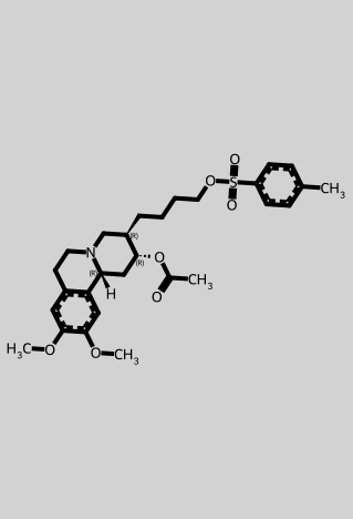 COc1cc2c(cc1OC)[C@H]1C[C@@H](OC(C)=O)[C@H](CCCCOS(=O)(=O)c3ccc(C)cc3)CN1CC2